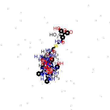 CC(C)[C@H](NC(=O)[C@@H](NC(=O)[C@@H]1CCCN1C(=O)[C@@H]1CCCN1C(=O)[C@H](Cc1c[nH]c2ccccc12)NC(=O)[C@H](Cc1ccc(O)cc1)NC(=O)[C@H](C)NC(=O)[C@H](Cc1c[nH]c2ccccc12)NC(=O)[C@H](Cc1c[nH]c2ccccc12)NC(=O)C(C)(C)NC(=O)C(C)(C)NC(=O)C(C)(C)NC(=O)C(C)(C)NC(=O)CCSSCCNC(=O)c1ccc(-c2c3ccc(=O)cc-3oc3cc(O)ccc23)c(C(=O)O)c1)C(C)C)C(N)=O